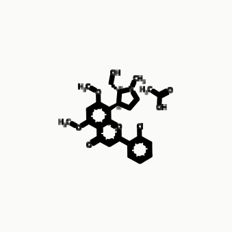 CC(=O)O.COc1cc(OC)c2c(=O)cc(-c3ccccc3Cl)oc2c1[C@@H]1CCN(C)[C@H]1CO